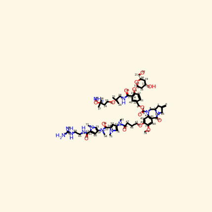 C=C1CC2CN(C(=O)OCc3ccc(O[C@H]4C[C@@H](O)C[C@@H](C=O)O4)c(C(=O)NCC(C)(C)OCCC(C)(C)ON)c3)c3cc(OCCCC(=O)N(C)c4cc(C(=O)N(C)c5cc(C(=O)NCCNC(=N)N)n(C)c5)n(C)c4)c(OC)cc3C(=O)N2C1